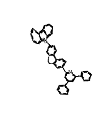 c1ccc(-c2cc(-c3ccccc3)nc(-c3ccc4c(c3)CCc3cc(-n5c6ccccc6c6ccccc65)ccc3-4)c2)cc1